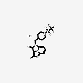 Cc1nc2cccc3n(CC4CCN(S(=O)(=O)C(F)(F)F)CC4)c(=O)c1n23.Cl